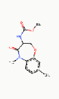 Cc1ccc2c(c1)OCC(NC(=O)OC(C)(C)C)C(=O)N2C